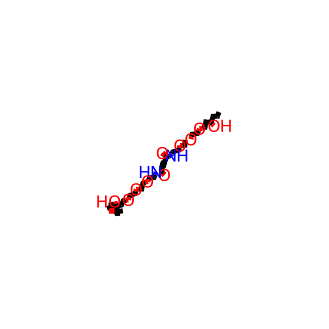 CCCC(O)CCOCCOCCOCCNC(=O)C#CC(=O)NCCOCCOCCOCCC(O)(C(C)(C)C)C(C)(C)C